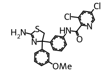 COc1cccc(C2(c3cccc(NC(=O)c4ncc(Cl)cc4Cl)c3)CSC(N)=N2)c1